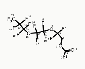 CCC(=O)OCC(F)(F)OC(F)(F)C(F)(F)OC(F)(F)C(F)(F)C(F)(F)F